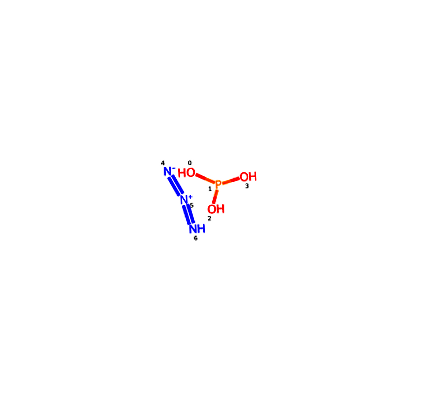 OP(O)O.[N-]=[N+]=N